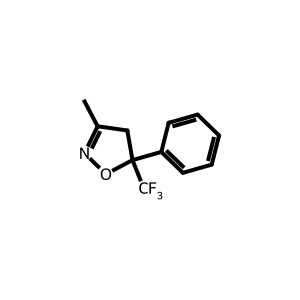 CC1=NOC(c2ccccc2)(C(F)(F)F)C1